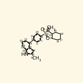 Cc1cc2c(-c3ccc(S(=O)(=O)N(C)C4CCCCC4)cc3)ccnc2[nH]1